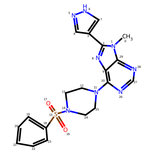 Cn1c(-c2cn[nH]c2)nc2c(N3CCN(S(=O)(=O)c4ccccc4)CC3)ncnc21